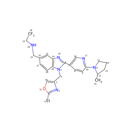 CCc1nc(Cn2c(-c3ccc(N4CCCC4C)nc3)nc3cc(CNCC(F)(F)F)ccc32)co1